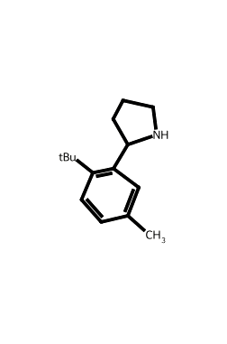 Cc1ccc(C(C)(C)C)c(C2CCCN2)c1